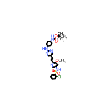 COc1cc(NS(=O)(=O)c2ccccc2Cl)cnc1/C=C/c1cnc(NC2CCC(NC(=O)OC(C)(C)C)CC2)nc1